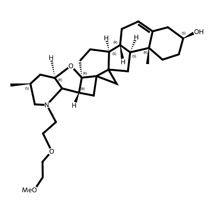 COCCOCCN1C[C@@H](C)C[C@H]2O[C@@]34CC[C@H]5[C@@H]6CC=C7C[C@@H](O)CC[C@]7(C)[C@H]6CC56CC63C[C@@H]4C21